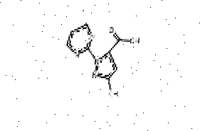 Cc1cc(C(=O)O)n(-c2ncccn2)n1